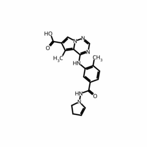 Cc1ccc(C(=O)NN2C=CCC2)cc1Nc1ncnn2cc(C(=O)O)c(C)c12